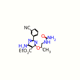 CCOC(=O)c1c(N)nc(-c2cccc(C#N)c2)nc1O[C@@H](C)CNC(N)=O